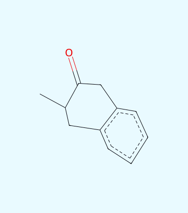 CC1Cc2ccccc2CC1=O